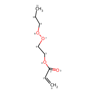 C=CC(=O)OCCOOCCC